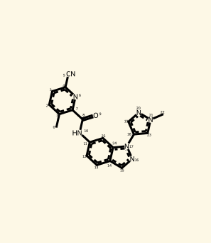 Cc1ccc(C#N)nc1C(=O)Nc1ccc2cnn(-c3cnn(C)c3)c2c1